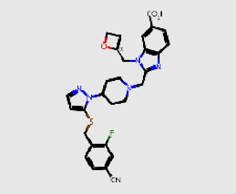 N#Cc1ccc(CSc2ccnn2C2CCN(Cc3nc4ccc(C(=O)O)cc4n3C[C@@H]3CCO3)CC2)c(F)c1